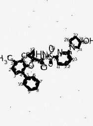 Cc1ccc(-c2ccccc2)c(OC2(C(=O)NS(=O)(=O)c3cccc(N4CC[C@@H](O)C4)n3)CC2)c1C(F)(F)F